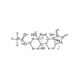 C=C1C[C@@]2(C)CC[C@@H]3[C@@H](C=CC4(O)CC(OC(=O)C(C)(C)C)CC[C@]34C)[C@@H]2C1=C